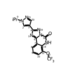 CC(C)n1cc(-c2nc3c4cccc(OC(F)(F)F)c4[nH]c(=O)n3n2)cn1